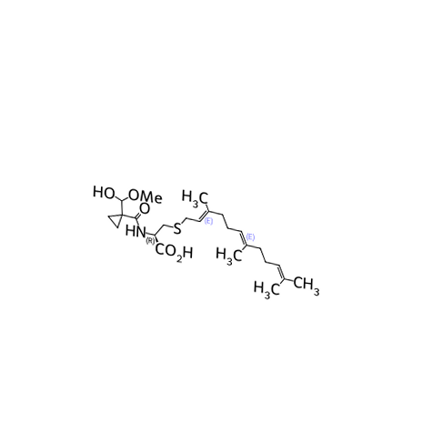 COC(O)C1(C(=O)N[C@@H](CSC/C=C(\C)CC/C=C(\C)CCC=C(C)C)C(=O)O)CC1